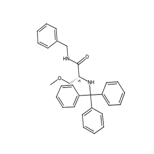 COC[C@@H](NC(c1ccccc1)(c1ccccc1)c1ccccc1)C(=O)NCc1ccccc1